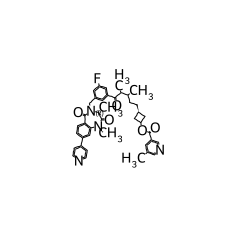 Cc1cncc(C(=O)O[C@H]2C[C@@H](CCC(C)C(C)C(=O)c3cc(F)cc(CN4C(=O)c5ccc(-c6ccncc6)cc5N(C)C(=O)[C@H]4C)c3)C2)c1